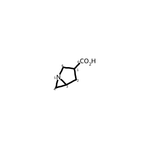 O=C(O)C1CC2CN2C1